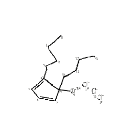 CCCCC1=CC=C[C]1([Zr+3])CCCC.[Cl-].[Cl-].[Cl-]